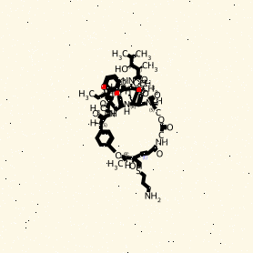 CC[C@H](C)[C@H]1NC(=O)[C@@H](NC(=O)[C@H](C)[C@H](O)C(C)C)[C@@H](C)OC(=O)[C@@H]2COC(=O)CNC(=O)/C=C/[C@](O)(CSCCCN)[C@@H](C)OC3=CC=C(CC3)[C@H](NC1=O)C(=O)N(C)C(Cc1ccccc1)C(=O)N[C@H]([C@@H](C)O)C(=O)N2